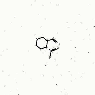 [N]C(=O)[C@@H]1CCCC[C@H]1C=O